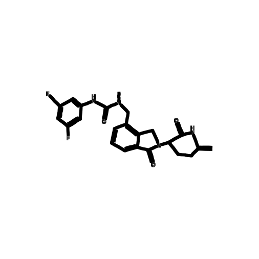 C=C1CCC(N2Cc3c(CN(C)C(=O)Nc4cc(F)cc(F)c4)cccc3C2=O)C(=O)N1